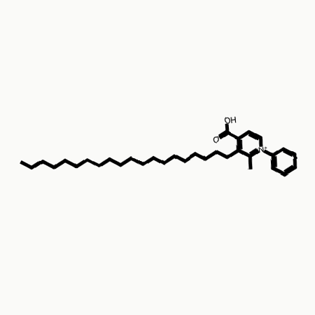 CCCCCCCCCCCCCCCCCCCCc1c(C(=O)O)cc[n+](-c2ccccc2)c1C